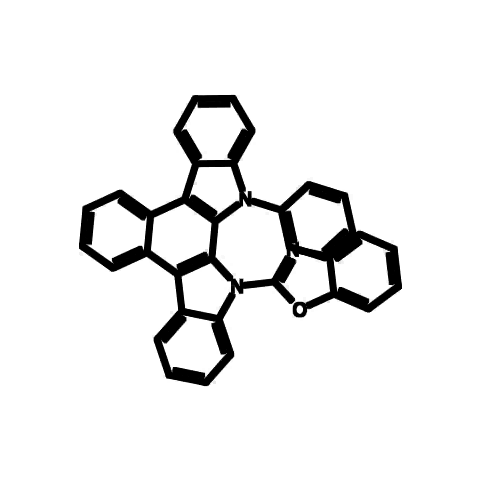 c1ccc(-n2c3ccccc3c3c4ccccc4c4c5ccccc5n(-c5nc6ccccc6o5)c4c32)cc1